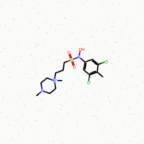 Cc1c(Cl)cc(N(O)S(=O)(=O)CCC[N+]2(C)CCN(C)CC2)cc1Cl